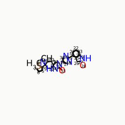 CN(C)C1(c2cccs2)CCC2(CC1)CN(c1cnc(-c3cccc4c3CC(=O)N4)nc1)C(=O)N2